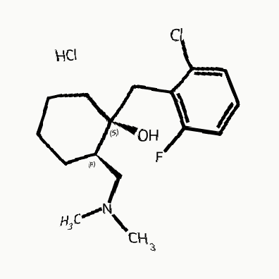 CN(C)C[C@H]1CCCC[C@]1(O)Cc1c(F)cccc1Cl.Cl